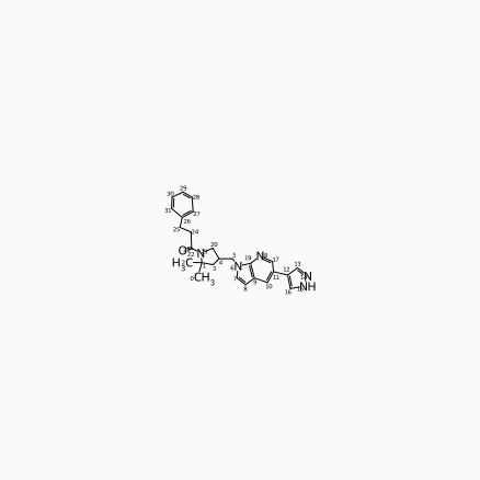 CC1(C)CC(Cn2ccc3cc(-c4cn[nH]c4)cnc32)CN1C(=O)CCc1ccccc1